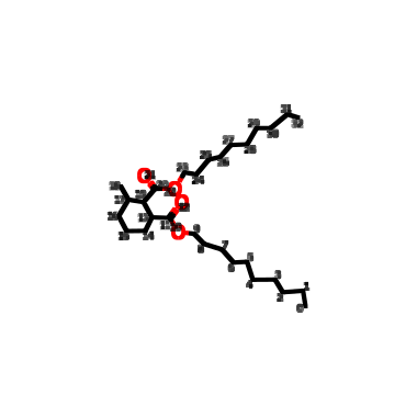 CCCCCCCCCCOC(=O)C1CCCC(C)C1C(=O)OCCCCCCCCCC